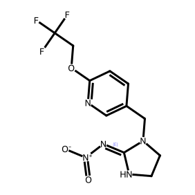 O=[N+]([O-])/N=C1\NCCN1Cc1ccc(OCC(F)(F)F)nc1